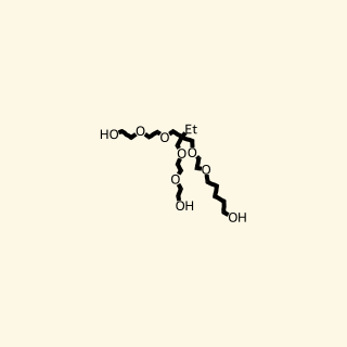 CCC(COCCOCCO)(COCCOCCO)COCCOCCCCCO